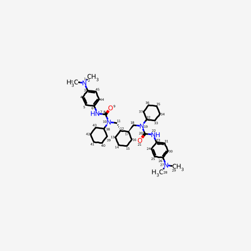 CN(C)c1ccc(NC(=O)N(C[C@H]2CCCC[C@@H]2CN(C(=O)Nc2ccc(N(C)C)cc2)C2CCCCC2)C2CCCCC2)cc1